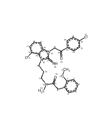 COc1ccccc1CC(=O)N(C)CCCn1c(=N)n(CC(=O)c2ccc(Cl)cc2)c2cccc(Cl)c21